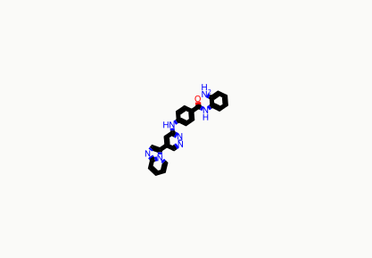 Nc1ccccc1NC(=O)c1ccc(Nc2cc(-c3cnc4ccccn34)cnn2)cc1